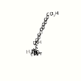 CCCN(OCC)C(=O)C1=Cc2ccc(-c3ccc(C(=O)NCCOCCOCCOCCOCCOCCOCCOCCOCCOCCOCCC(=O)O)cc3)cc2N=C(N)C1